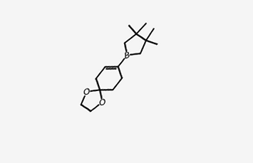 CC1(C)CB(C2=CCC3(CC2)OCCO3)CC1(C)C